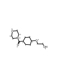 O=C(C1CCC(OCCO)CC1)N1CCOCC1